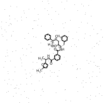 Cc1ccc(C(C)NC(=O)c2cccc(C(=O)N[C@@H](Cc3ccccc3)[C@H](O)CN(C)[C@@H](C)c3ccccc3)c2)o1